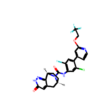 O=C(Nc1cc(Cl)c(-c2ccnc(OCC(F)(F)F)c2)cc1F)N1[C@H]2CC[C@@H]1c1n[nH]c(=O)cc1C2